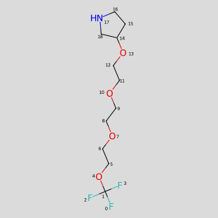 FC(F)(F)OCCOCCOCCOC1CCNC1